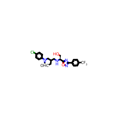 CN(CC(CC=O)CN[C@@H](CO)c1nc(-c2ccc(C(F)(F)F)cc2)no1)c1ccc(Cl)cc1